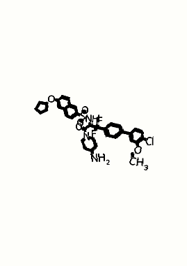 CCOc1cc(-c2ccc(C(F)(F)[C@H](NS(=O)(=O)c3ccc4cc(OC5CCCC5)ccc4c3)C(=O)N3CCC(N)CC3)cc2)ccc1Cl